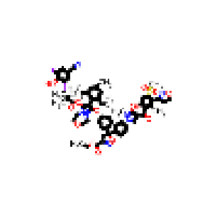 CCOC(=O)C1=NOC(c2ccccc2)(c2ccccc2)C1.CCc1cc(C)cc(CC)c1-c1c(OC(=O)C(C)(C)C)n2n(c1=O)CCOCC2.Cc1c(C(=O)c2cnn(C)c2O)ccc(S(C)(=O)=O)c1C1=NOCC1.N#Cc1cc(I)c(O)c(I)c1